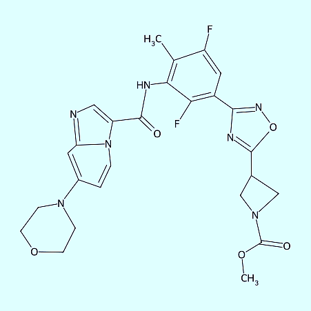 COC(=O)N1CC(c2nc(-c3cc(F)c(C)c(NC(=O)c4cnc5cc(N6CCOCC6)ccn45)c3F)no2)C1